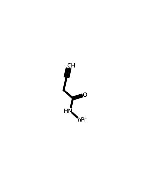 C#CCC(=O)NCCC